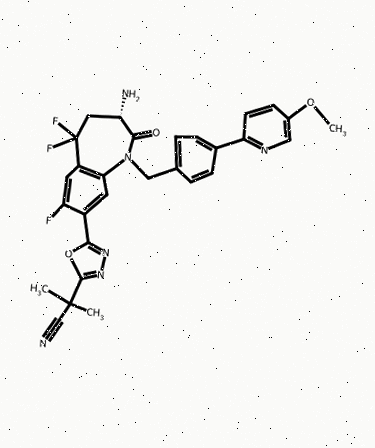 COc1ccc(-c2ccc(CN3C(=O)[C@@H](N)CC(F)(F)c4cc(F)c(-c5nnc(C(C)(C)C#N)o5)cc43)cc2)nc1